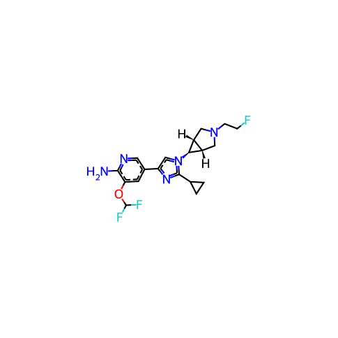 Nc1ncc(-c2cn([C@H]3[C@@H]4CN(CCF)C[C@@H]43)c(C3CC3)n2)cc1OC(F)F